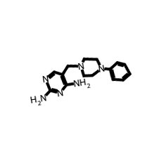 Nc1ncc(CN2CCN(c3ccccc3)CC2)c(N)n1